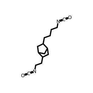 O=C=NCCCCC1CC2CC1CC2CCN=C=O